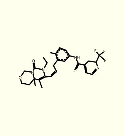 CCN1C(=O)N2COCCC2(C)C(C)=C1/C=C\Cc1cc(NC(=O)C2=CC=NC(C(F)(F)F)C2)ccc1C